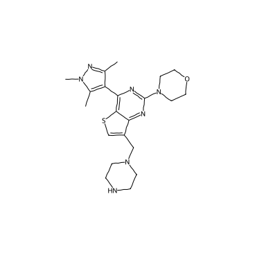 Cc1nn(C)c(C)c1-c1nc(N2CCOCC2)nc2c(CN3CCNCC3)csc12